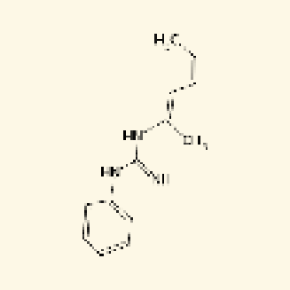 C/C=C\C=C(/C)NC(=N)Nc1ccccc1